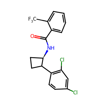 O=C(N[C@@H]1CCC1c1ccc(Cl)cc1Cl)c1ccccc1C(F)(F)F